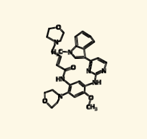 COc1cc(N2CCOCC2)c(NC(=O)C=CCN2CCOCC2)cc1Nc1nccc(-c2cn(C)c3ccccc23)n1